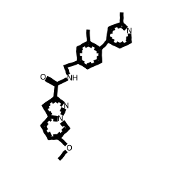 COc1ccc2cc(C(=O)NCc3ccc(-c4ccnc(C)c4)c(C)c3)nn2c1